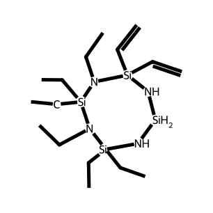 C=C[Si]1(C=C)N[SiH2]N[Si](CC)(CC)N(CC)[Si](CC)(CC)N1CC